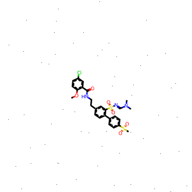 COc1ccc(Cl)cc1C(=O)NCCc1ccc(-c2ccc(S(C)(=O)=O)cc2)c(S(=O)(=O)N=CN(C)C)c1